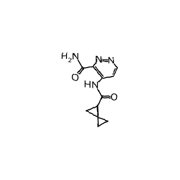 NC(=O)c1nnccc1NC(=O)C1CC12CC2